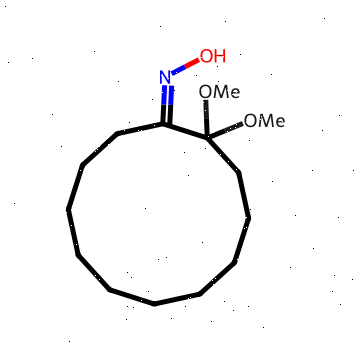 COC1(OC)CCCCCCCCCCC1=NO